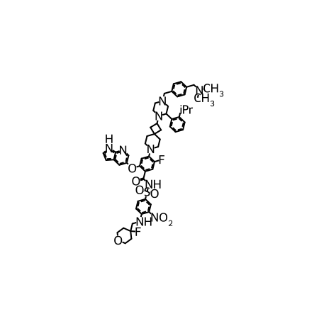 CC(C)c1ccccc1C1CN(Cc2ccc(CN(C)C)cc2)CCN1C1CC2(CCN(c3cc(Oc4cnc5[nH]ccc5c4)c(C(=O)NS(=O)(=O)c4ccc(NCC5(F)CCOCC5)c([N+](=O)[O-])c4)cc3F)CC2)C1